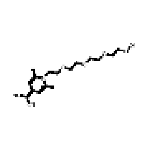 CC1=CC(=C(C#N)C#N)C=C(C)N1CCOCCOCCOCCOS